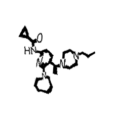 C=C(c1ccc(NC(=O)C2CC2)nc1N1CCCCCC1)N1CCN(CCC)CC1